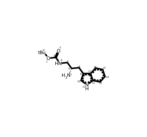 CC(C)(C)OC(=O)NC[C@@H](N)Cc1c[nH]c2ccccc12